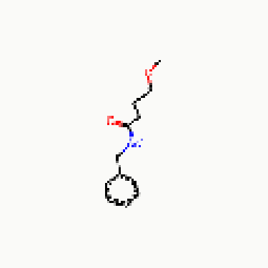 COCCCC(=O)NCc1ccccc1